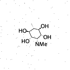 CN[C@@H]1[C@H](O)[C@@H](O)[C@H](C)[C@@H](O)[C@@H]1O